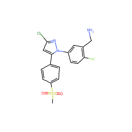 CS(=O)(=O)c1ccc(-c2cc(Cl)nn2-c2ccc(F)c(CN)c2)cc1